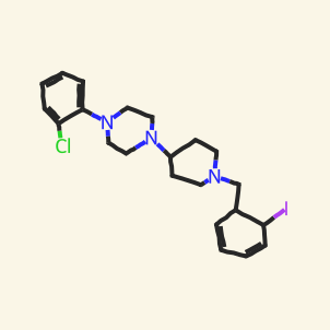 Clc1ccccc1N1CCN(C2CCN(CC3C=CC=CC3I)CC2)CC1